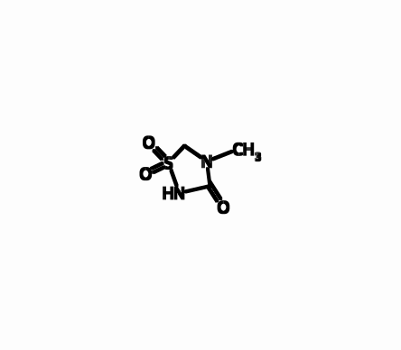 CN1CS(=O)(=O)NC1=O